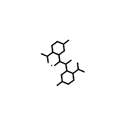 [CH2]C(C(C)C1CC(C)CCC1C(C)C)C1CC(C)CCC1C(C)C